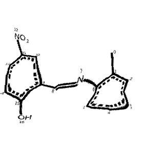 Cc1ccccc1N=Cc1cc([N+](=O)[O-])ccc1O